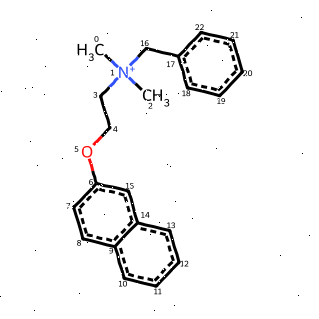 C[N+](C)(CCOc1ccc2ccccc2c1)Cc1ccccc1